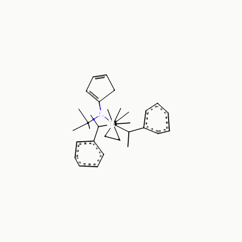 C[CH](c1ccccc1)[Ti]1([CH3])([CH3])([CH3])([CH3])([CH](C)c2ccccc2)([N](C2=CC=CC2)C(C)(C)C)[CH2][CH2]1